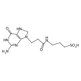 Nc1nc2c(c(=O)[nH]1)NCN2CCC(=O)NCCCS(=O)(=O)O